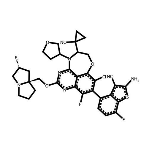 N#Cc1c(N)sc2c(F)ccc(-c3c(Cl)c4c5c(nc(OC[C@@]67CCCN6C[C@H](F)C7)nc5c3F)N(C3CCOC3)C(C3(C#N)CC3)CO4)c12